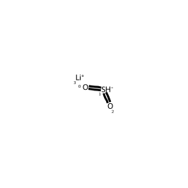 O=[SH-]=O.[Li+]